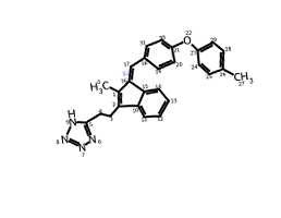 CC1=C(CCc2nnn[nH]2)c2ccccc2/C1=C\c1ccc(Oc2ccc(C)cc2)cc1